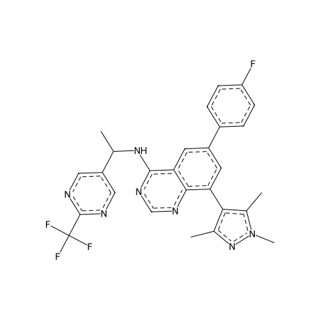 Cc1nn(C)c(C)c1-c1cc(-c2ccc(F)cc2)cc2c(NC(C)c3cnc(C(F)(F)F)nc3)ncnc12